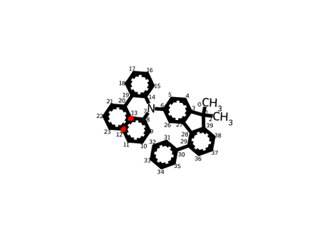 CC1(C)c2ccc(N(c3ccccc3)c3ccccc3-c3ccccc3)cc2-c2c(-c3ccccc3)cccc21